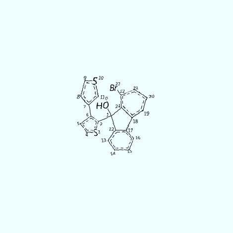 OC1(c2sccc2-c2ccsc2)c2ccccc2-c2cccc(Br)c21